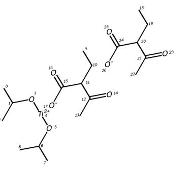 CC(C)[O][Ti+2][O]C(C)C.CCC(C(C)=O)C(=O)[O-].CCC(C(C)=O)C(=O)[O-]